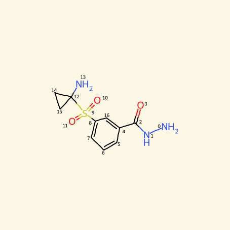 NNC(=O)c1cccc(S(=O)(=O)C2(N)CC2)c1